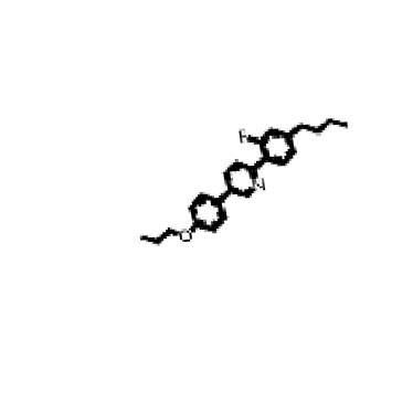 CCCCc1ccc(-c2ccc(-c3ccc(OCCC)cc3)cn2)c(F)c1